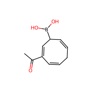 CC(=O)C1=C/C(B(O)O)C=CC/C=C\1